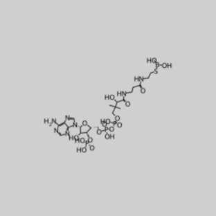 CC(C)(COP(=O)(O)OP(=O)(O)OC[C@H]1O[C@@H](n2cnc3c(N)ncnc32)[C@H](O)[C@@H]1OP(=O)(O)O)[C@@H](O)C(=O)NCCC(=O)NCCSB(O)O